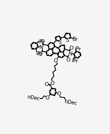 CCCCCCCCCCCCOc1cc(OCCCCCCCCCCCC)cc(C(=O)OCCCCCCOc2cc3c4c(ccc5c6c(-c7ccc(-c8ccc(Br)s8)s7)cc7c8c(ccc(c2c45)c86)C(=O)N(c2c(C(C)C)cccc2C(C)C)C7=O)C(=O)N(c2c(C(C)C)cccc2C(C)C)C3=O)c1